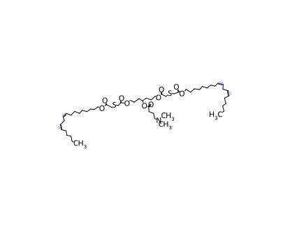 CCCCC/C=C\C/C=C\CCCCCCCCOC(=O)CSCC(=O)OCCCC(CCCOC(=O)CSCC(=O)OCCCCCCCC/C=C\C/C=C\CCCCC)OC(=O)CCCN(C)C